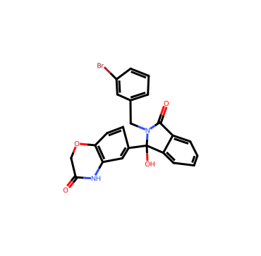 O=C1COc2ccc(C3(O)c4ccccc4C(=O)N3Cc3cccc(Br)c3)cc2N1